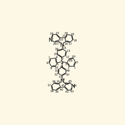 c1ccc(S(c2ccccc2)(c2ccc(-n3c4ccccc4c4ccncc43)cc2)c2ccc(-n3c4ccccc4c4ccncc43)cc2)cc1